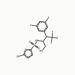 O=S(=O)(NC(CO)C(c1cc(F)cc(F)c1)C(F)(F)F)c1ccc(Cl)s1